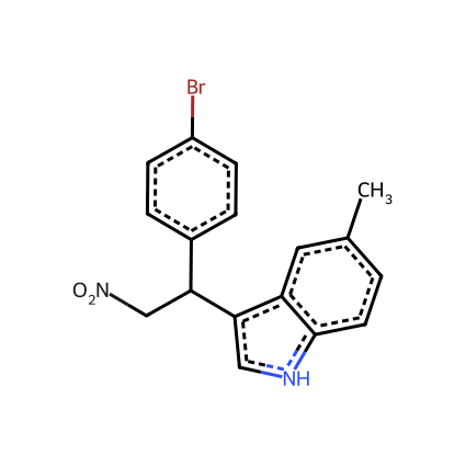 Cc1ccc2[nH]cc(C(C[N+](=O)[O-])c3ccc(Br)cc3)c2c1